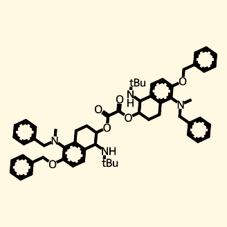 CN(Cc1ccccc1)c1c(OCc2ccccc2)ccc2c1CCC(OC(=O)C(=O)OC1CCc3c(ccc(OCc4ccccc4)c3N(C)Cc3ccccc3)C1NC(C)(C)C)C2NC(C)(C)C